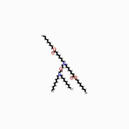 CCCCCCCCCOC(=O)CCCCCCCN(CCCCCCCC(=O)OCCCCCCCCC)CCOCCN(CCCCCCCCC)CCCCCCCCC